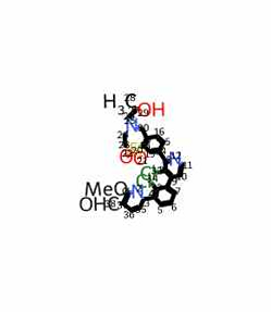 COc1nc(-c2cccc(-c3ccnc(-c4ccc5c(c4)S(=O)(=O)CCN(CC(C)O)C5)c3Cl)c2Cl)ccc1C=O